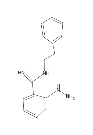 N=C(NCCc1ccccc1)c1ccccc1NN